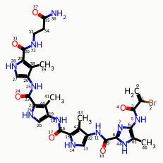 C=C(Br)C(=O)Nc1nc(C(=O)Nc2c[nH]c(C(=O)Nc3c[nH]c(C(=O)Nc4c[nH]c(C(=O)NCCC(N)=O)c4C)c3C)c2C)[nH]c1C